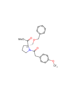 COC(=O)[C@]1(COCc2ccccc2)CCCN1C(=O)Cc1ccc(OC(F)(F)F)cc1